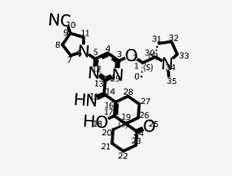 C[C@H](Oc1cc(N2CCC(C#N)C2)nc(C(=N)C2=C(O)[C@]3(CCCCC3=O)CCC2)n1)[C@@H]1CCCN1C